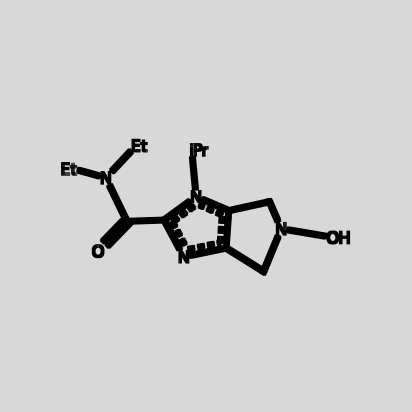 CCN(CC)C(=O)c1nc2c(n1C(C)C)CN(O)C2